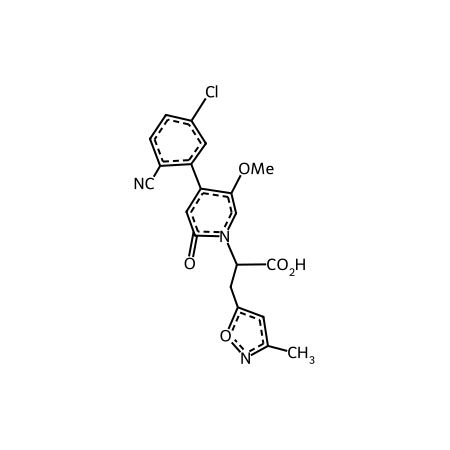 COc1cn(C(Cc2cc(C)no2)C(=O)O)c(=O)cc1-c1cc(Cl)ccc1C#N